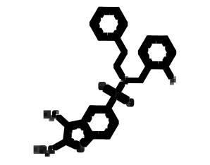 Cc1c(C(=O)O)oc2ccc(S(=O)(=O)N(CCc3ccccc3)Cc3ccccc3F)cc12